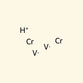 [Cr].[Cr].[H+].[V].[V]